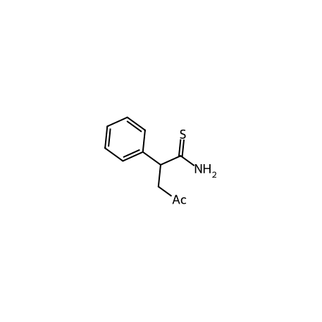 CC(=O)CC(C(N)=S)c1ccccc1